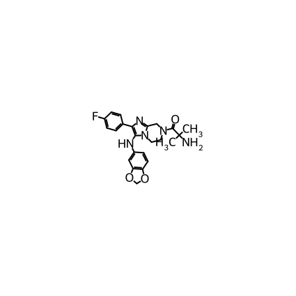 CC(C)(N)C(=O)N1CCn2c(nc(-c3ccc(F)cc3)c2Nc2ccc3c(c2)OCO3)C1